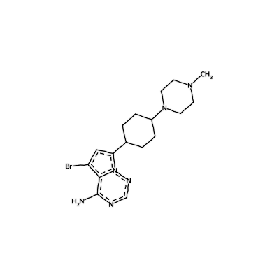 CN1CCN(C2CCC(c3cc(Br)c4c(N)ncnn34)CC2)CC1